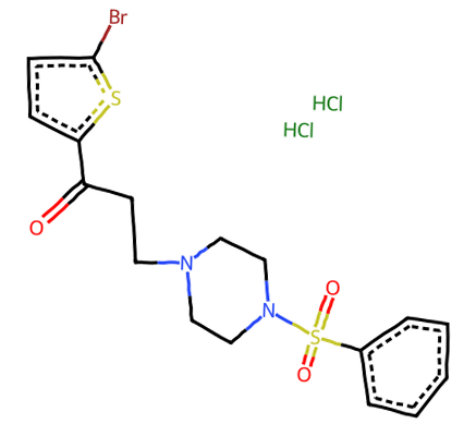 Cl.Cl.O=C(CCN1CCN(S(=O)(=O)c2ccccc2)CC1)c1ccc(Br)s1